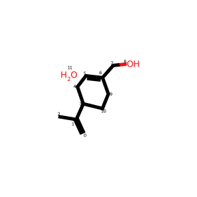 C=C(C)C1CC=C(CO)CC1.O